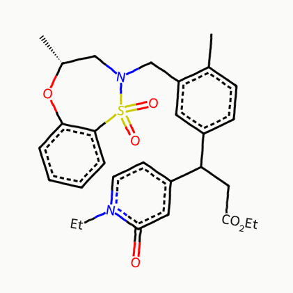 CCOC(=O)CC(c1ccc(C)c(CN2C[C@@H](C)Oc3ccccc3S2(=O)=O)c1)c1ccn(CC)c(=O)c1